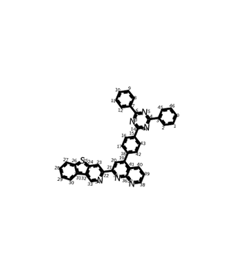 c1ccc(-c2nc(-c3ccccc3)nc(-c3ccc(-c4cc(-c5cc6sc7ccccc7c6cn5)nc5ncccc45)cc3)n2)cc1